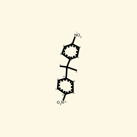 CC(C)(c1ccc([N+](=O)[O-])cc1)c1ccc([N+](=O)[O-])cc1